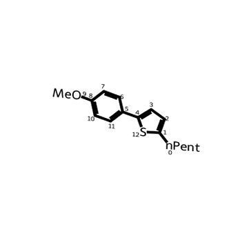 CCCCCc1ccc(-c2ccc(OC)cc2)s1